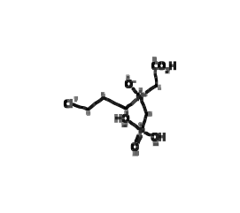 O=C(O)C[N+]([O-])(CCCCl)CP(=O)(O)O